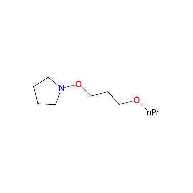 CCCOCCCON1CCCC1